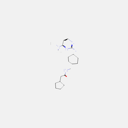 CN(C)c1ccnc(N[C@H]2CC[C@@H](CNC(=O)CC3CCCC3)CC2)n1